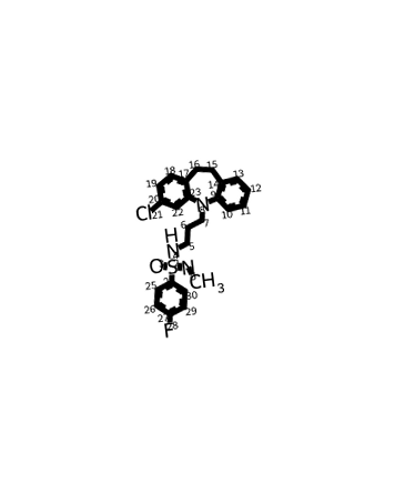 CN=S(=O)(NCCCN1c2ccccc2CCc2ccc(Cl)cc21)c1ccc(F)cc1